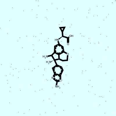 Nc1nc2cc([C@@]3(N)C(N)c4cc(N[C@H](C(=O)O)C5CC5)cc5c4C3CCO5)ccc2o1